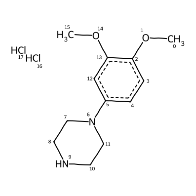 COc1ccc(N2CCNCC2)cc1OC.Cl.Cl